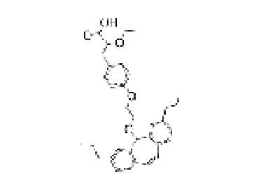 CCCc1ccc2c(c1)C(OCCOc1ccc(CC(OCC)C(=O)O)cc1)c1cc(CCC)ccc1C=C2